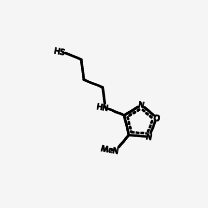 CNc1nonc1NCCCS